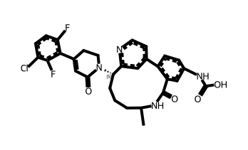 CC1CCC[C@H](N2CCC(c3c(F)ccc(Cl)c3F)=CC2=O)c2cc(ccn2)-c2ccc(NC(=O)O)cc2C(=O)N1